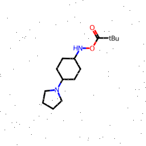 CC(C)(C)C(=O)ONC1CCC(N2CCCC2)CC1